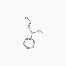 CC/C=N/N(C)c1ccccc1